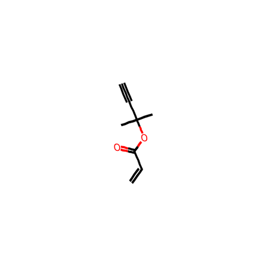 C#CC(C)(C)OC(=O)C=C